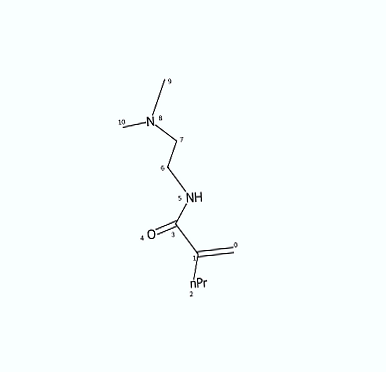 C=C(CCC)C(=O)NCCN(C)C